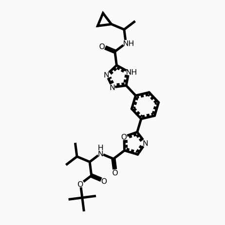 CC(C)C(NC(=O)c1cnc(-c2cccc(-c3nnc(C(=O)NC(C)C4CC4)[nH]3)c2)o1)C(=O)OC(C)(C)C